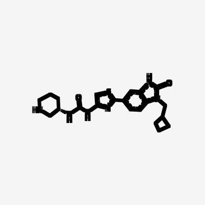 O=C(Nc1csc(-c2ccc3c(c2)[nH]c(=O)n3CC2CCC2)n1)N[C@H]1CCCNC1